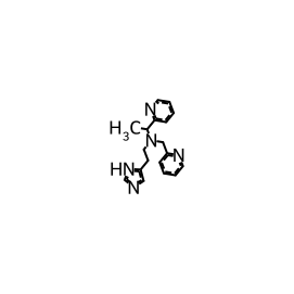 CC(c1ccccn1)N(CCc1cnc[nH]1)Cc1ccccn1